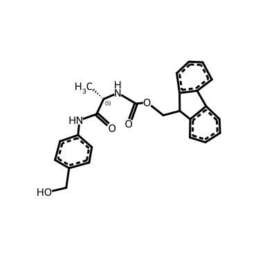 C[C@H](NC(=O)OCC1c2ccccc2-c2ccccc21)C(=O)Nc1ccc(CO)cc1